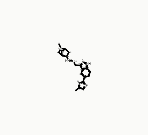 Cc1csc(-c2ccc3[nH]nc(CONC4CC5CC4CN5C)c3c2)n1